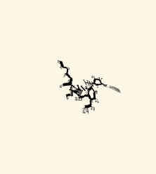 C=CCCCC(=C)NN(C)Cc1cc(NC2CCCC2)ccc1C=C